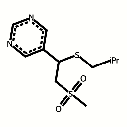 CC(C)CSC(CS(C)(=O)=O)c1cncnc1